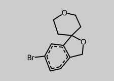 Brc1ccc2c(c1)C1(CCOCC1)OC2